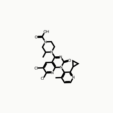 Cc1ccnc(C2CC2)c1-n1c(=O)nc(N2CCN(C(=O)O)CC2C)c2cc(Cl)c(Cl)nc21